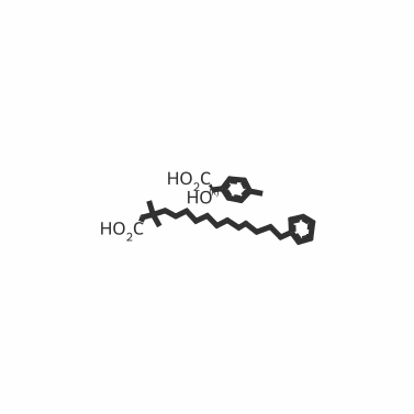 CC(C)(CCCCCCCCCCCCc1ccccc1)CC(=O)O.Cc1ccc([C@@H](O)C(=O)O)cc1